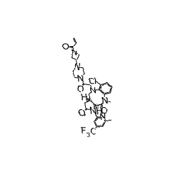 C=CC(=O)N1CC(N2CCN(C(=O)CN3C[C@H]4CC(=O)N(c5cc(C(F)(F)F)cc(C)n5)[C@@H]4C(=O)N(C)c4cccc(Cl)c43)CC2)C1